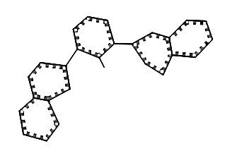 Oc1c(-c2ccc3ccccc3c2)cccc1-c1ccc2ccccc2c1